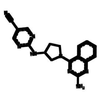 N#Cc1cnc(NC2CCN(c3nc(N)nc4ccccc34)C2)nc1